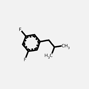 CC(C)Cc1cc(F)cc(F)c1